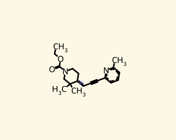 CCOC(=O)N1CC/C(=C\C#Cc2cccc(C)n2)C(C)(C)C1